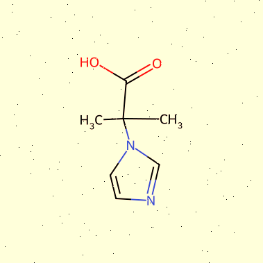 CC(C)(C(=O)O)n1ccnc1